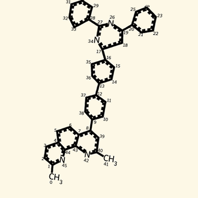 Cc1ccc2ccc3c(-c4ccc(-c5ccc(-c6cc(-c7ccccc7)nc(-c7ccccc7)n6)cc5)cc4)cc(C)nc3c2n1